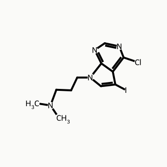 CN(C)CCCn1cc(I)c2c(Cl)ncnc21